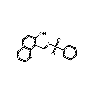 O=S(=O)(N=Cc1c(O)ccc2ccccc12)c1ccccc1